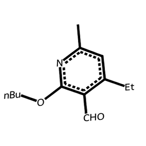 CCCCOc1nc(C)cc(CC)c1C=O